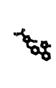 CCCc1nc(C(N)CC)nn1Cc1ccc(-c2ccccc2-c2nnn[nH]2)cc1